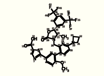 COc1ccc(-c2ncc(C(=O)O)s2)cc1-c1ccc(N2CCC2)nc1CN1C(=O)O[C@H](c2cc(C(F)(F)F)cc(C(F)(F)F)c2)[C@@H]1C